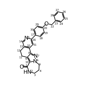 O=C1NCCCn2nc3c(c21)CCc1cnc(-c2ccc(OCc4ccccc4)cc2)cc1-3